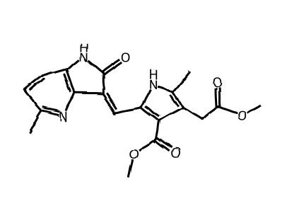 COC(=O)Cc1c(C)[nH]c(C=C2C(=O)Nc3ccc(C)nc32)c1C(=O)OC